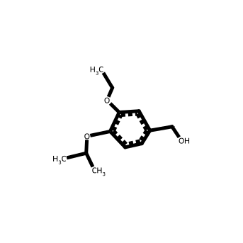 CCOc1cc([CH]O)ccc1OC(C)C